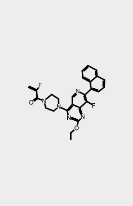 C=C(F)C(=O)N1CCN(c2nc(OCC)nc3c(F)c(-c4cccc5ccccc45)ncc23)CC1